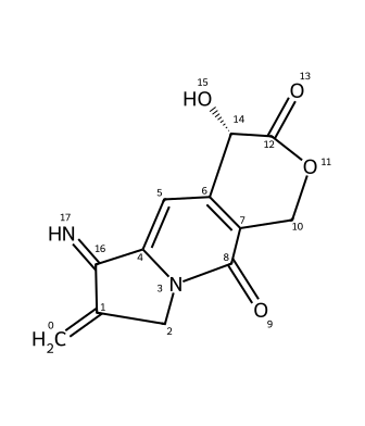 C=C1Cn2c(cc3c(c2=O)COC(=O)[C@H]3O)C1=N